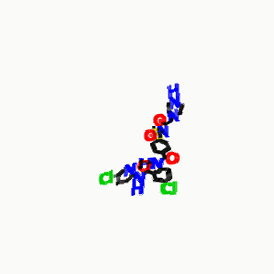 CS(=O)(=NC(=O)CN1CCNCC1)c1ccc(C(=O)Nc2ccc(Cl)cc2C(=O)Nc2ccc(Cl)cn2)cc1